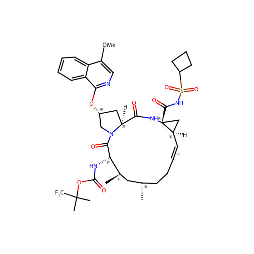 COc1cnc(O[C@@H]2C[C@H]3C(=O)N[C@]4(C(=O)NS(=O)(=O)C5CCC5)C[C@H]4/C=C\CC[C@H](C)C[C@@H](C)[C@H](NC(=O)OC(C)(C)C(F)(F)F)C(=O)N3C2)c2ccccc12